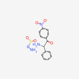 NC(C(=O)c1ccc([N+](=O)[O-])cc1)c1ccccc1.NN=S(=O)=O